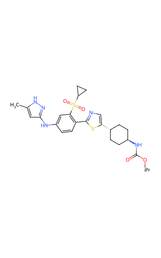 Cc1cc(Nc2ccc(-c3ncc([C@H]4CC[C@H](NC(=O)OC(C)C)CC4)s3)c(S(=O)(=O)C3CC3)c2)n[nH]1